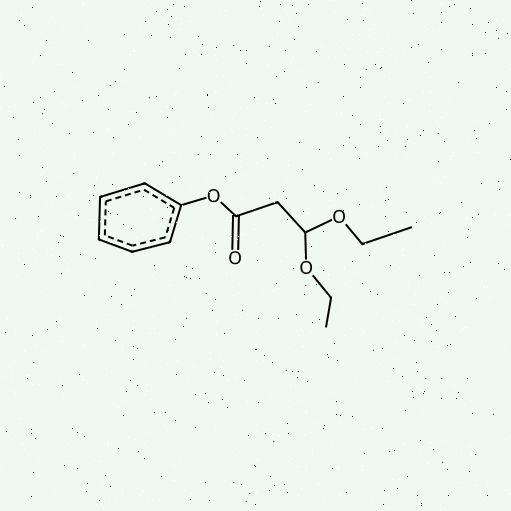 CCOC(CC(=O)Oc1ccccc1)OCC